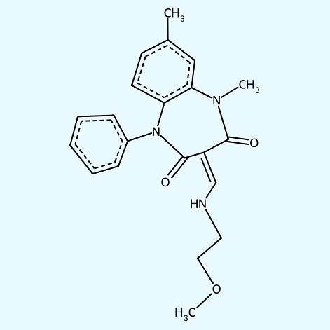 COCCN/C=C1/C(=O)N(C)c2cc(C)ccc2N(c2ccccc2)C1=O